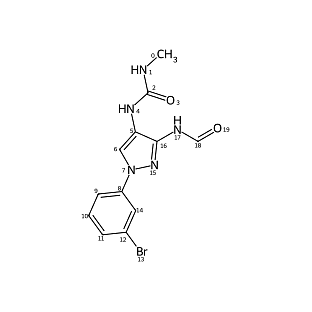 CNC(=O)Nc1cn(-c2cccc(Br)c2)nc1NC=O